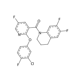 O=C(c1cc(F)cnc1Oc1ccc(F)c(Cl)c1)N1CCCc2cc(F)c(F)cc21